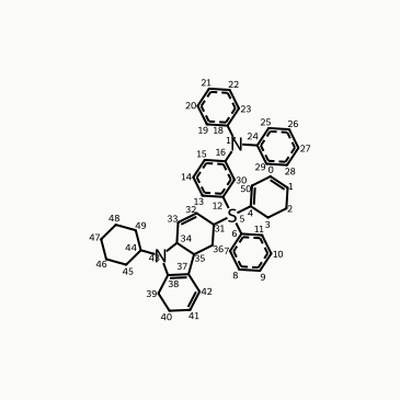 C1=CCCC(S(c2ccccc2)(c2cccc(N(c3ccccc3)c3ccccc3)c2)C2C=CC3C(C2)C2=C(CCC=C2)N3C2CCCCC2)=C1